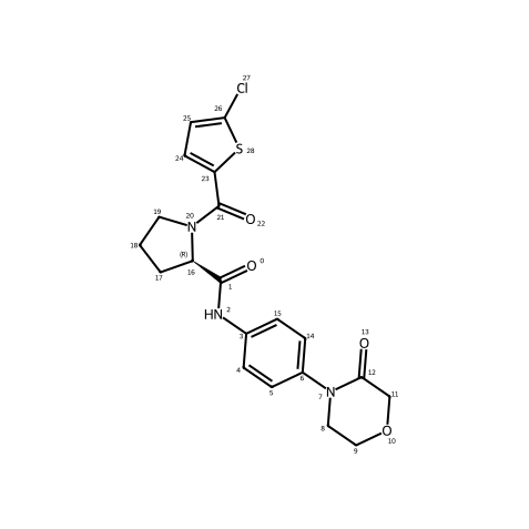 O=C(Nc1ccc(N2CCOCC2=O)cc1)[C@H]1CCCN1C(=O)c1ccc(Cl)s1